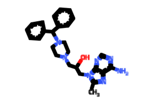 Cc1nc2c(N)ncnc2n1CC(O)CN1CCN(C(c2ccccc2)c2ccccc2)CC1